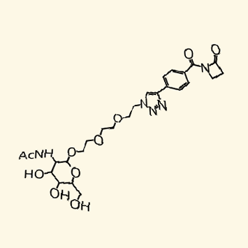 CC(=O)NC1C(OCCOCCOCCn2cc(-c3ccc(C(=O)N4CCC4=O)cc3)nn2)OC(CO)C(O)C1O